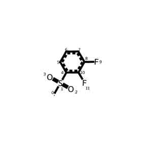 [CH2]S(=O)(=O)c1cccc(F)c1F